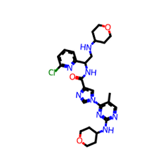 Cc1cnc(NC2CCOCC2)nc1-n1cnc(C(=O)NC(CNC2CCOCC2)c2cccc(Cl)n2)c1